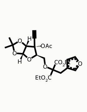 C#C[C@@]1(OC(C)=O)[C@@H](COC(Cc2ccoc2)(C(=O)OCC)C(=O)OCC)O[C@@H]2OC(C)(C)O[C@@H]21